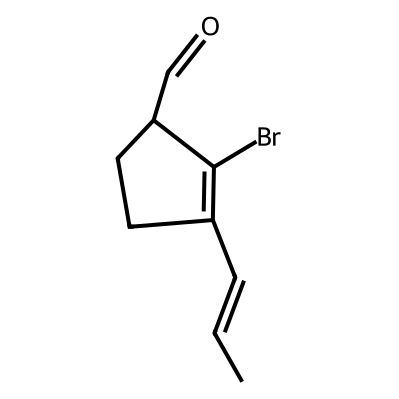 CC=CC1=C(Br)C(C=O)CC1